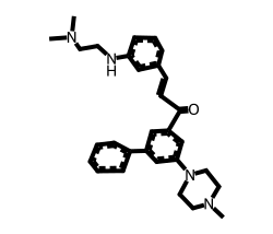 CN(C)CCNc1cccc(C=CC(=O)c2cc(-c3ccccc3)cc(N3CCN(C)CC3)c2)c1